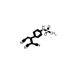 CS(=O)(=O)Nc1ccc(C(CC#N)=C(C#N)C#N)cc1